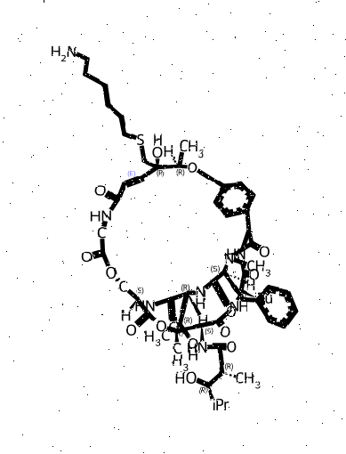 CC[C@H](C)[C@H]1NC(=O)[C@@H](NC(=O)[C@H](C)[C@H](O)C(C)C)[C@@H](C)OC(=O)[C@@H]2COC(=O)CNC(=O)/C=C/[C@](O)(CSCCCCCCN)[C@@H](C)Oc3ccc(cc3)C(NC1=O)C(=O)N(C)[C@@H](Cc1ccccc1)C(=O)N[C@H]([C@@H](C)O)C(=O)N2